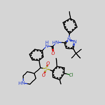 Cc1ccc(-n2nc(C(C)(C)C)cc2NC(=O)Nc2cccc(C(C3CCNCC3)S(=O)(=O)c3cc(C)c(Cl)cc3C)c2)cc1